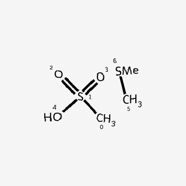 CS(=O)(=O)O.CSC